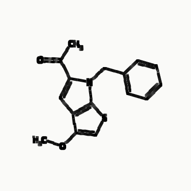 COc1csc2c1cc(C(C)=O)n2Cc1ccccc1